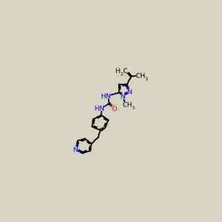 C=C(C)c1cc(NC(=O)Nc2ccc(Cc3ccncc3)cc2)n(C)n1